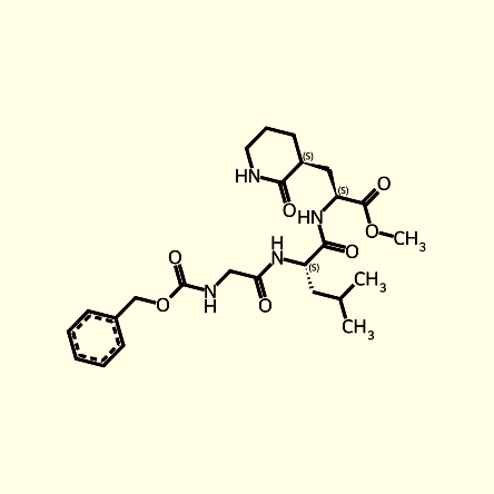 COC(=O)[C@H](C[C@@H]1CCCNC1=O)NC(=O)[C@H](CC(C)C)NC(=O)CNC(=O)OCc1ccccc1